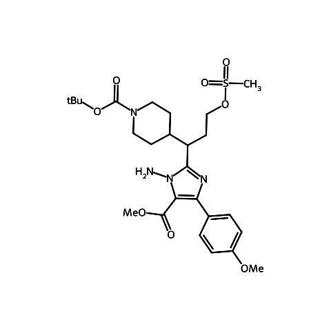 COC(=O)c1c(-c2ccc(OC)cc2)nc(C(CCOS(C)(=O)=O)C2CCN(C(=O)OC(C)(C)C)CC2)n1N